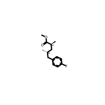 COC(=O)[C@@H](C)C[C@@H](C)Cc1ccc(F)cc1